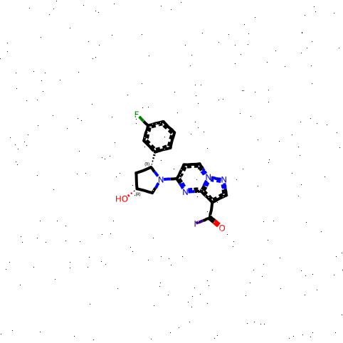 O=C(I)c1cnn2ccc(N3C[C@H](O)C[C@@H]3c3cccc(F)c3)nc12